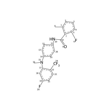 Cc1cccc(F)c1C(=O)Nc1ccc(N(C)c2cc(F)ccc2C(F)(F)F)cc1